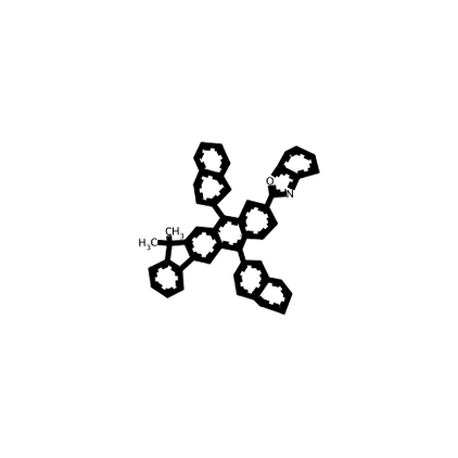 CC1(C)c2ccccc2-c2cc3c(-c4ccc5ccccc5c4)c4ccc(-c5nc6ccccc6o5)cc4c(-c4ccc5ccccc5c4)c3cc21